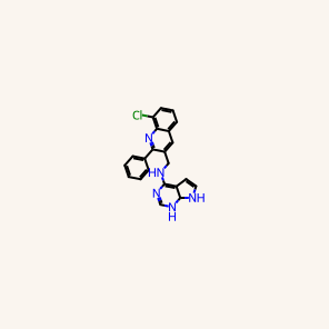 Clc1cccc2cc(CNC3=C4C=CNC4NC=N3)c(-c3ccccc3)nc12